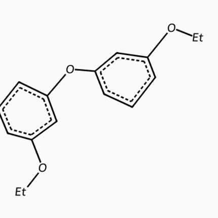 CCOc1cccc(Oc2cccc(OCC)c2)c1